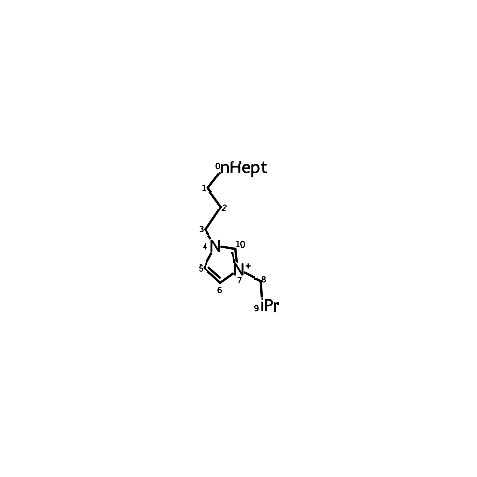 CCCCCCCCCCn1cc[n+](CC(C)C)c1